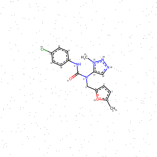 Cc1ccc(CN(C(=O)Nc2ccc(Cl)cc2)c2cnnn2C)o1